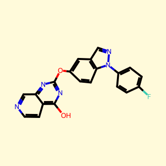 Oc1nc(Oc2ccc3c(cnn3-c3ccc(F)cc3)c2)nc2cnccc12